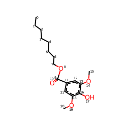 CCCCCCCCOC(=O)c1cc(OC)c(O)c(OC)c1